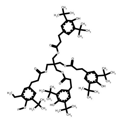 CCc1cc(CCC(=O)OCC(COC(=O)CCc2cc(C(C)(C)C)c(O)c(C(C)(C)C)c2)(COC(=O)CCc2cc(C(C)(C)C)c(O)c(C(C)(C)C)c2)COC(=O)CCc2cc(C(C)(C)C)c(O)c(C(C)(C)C)c2)cc(C(C)(C)C)c1OF